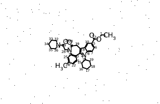 CCOC(=O)c1ccc2c(c1)c1c(n2C2CCCCC2)-c2ccc(C)cc2N(CC(=O)N2CCCCC2)C(=O)C1